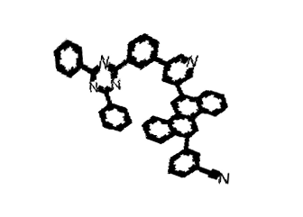 N#Cc1cccc(-c2cc3c4ccccc4c(-c4cncc(-c5cccc(-c6nc(-c7ccccc7)nc(-c7ccccc7)n6)c5)c4)cc3c3ccccc23)c1